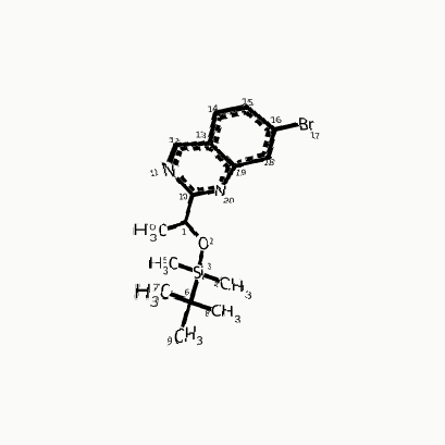 CC(O[Si](C)(C)C(C)(C)C)c1ncc2ccc(Br)cc2n1